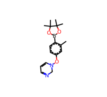 Cc1cc(ON2C=CC=NC2)ccc1B1OC(C)(C)C(C)(C)O1